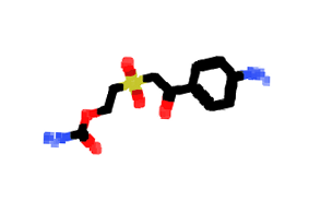 NC(=O)OCCS(=O)(=O)CC(=O)c1ccc(N)cc1